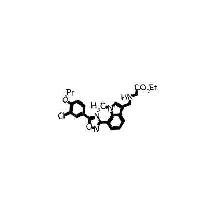 CCOC(=O)CNCc1cn(C)c2c(-c3noc(-c4ccc(OC(C)C)c(Cl)c4)n3)cccc12